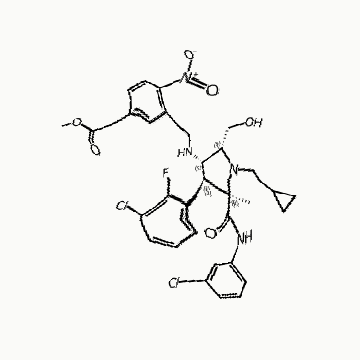 COC(=O)c1ccc([N+](=O)[O-])c(CN[C@@H]2[C@H](CO)N(CC3CC3)[C@@](C)(C(=O)Nc3cccc(Cl)c3)[C@H]2c2cccc(Cl)c2F)c1